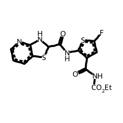 CCOC(=O)NC(=O)c1cc(F)sc1NC(=O)C1Nc2ncccc2S1